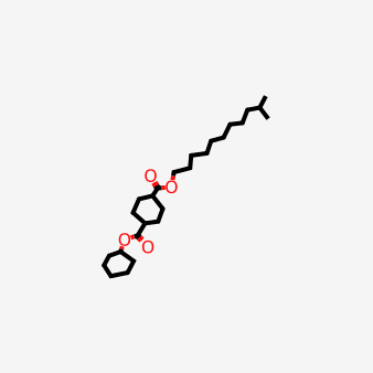 CC(C)CCCCCCCCCOC(=O)C1CCC(C(=O)OC2CCCCC2)CC1